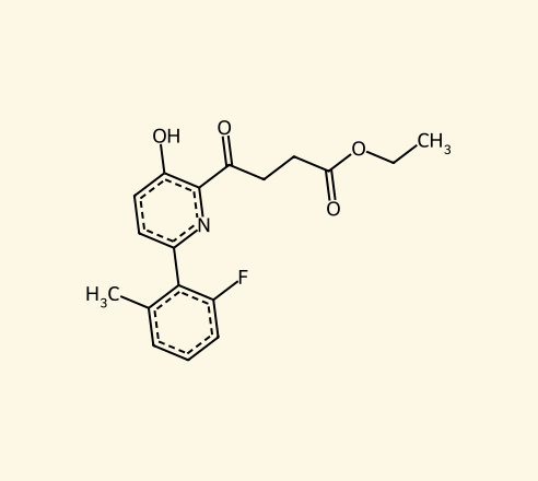 CCOC(=O)CCC(=O)c1nc(-c2c(C)cccc2F)ccc1O